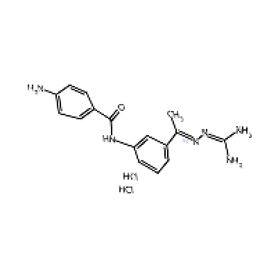 C/C(=N\N=C(N)N)c1cccc(NC(=O)c2ccc(N)cc2)c1.Cl.Cl